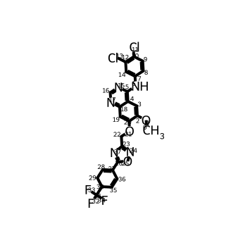 COc1cc2c(Nc3ccc(Cl)c(Cl)c3)ncnc2cc1OCc1noc(C2=CCC(C(F)(F)F)C=C2)n1